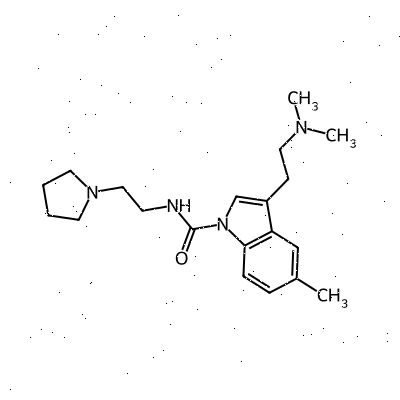 Cc1ccc2c(c1)c(CCN(C)C)cn2C(=O)NCCN1CCCC1